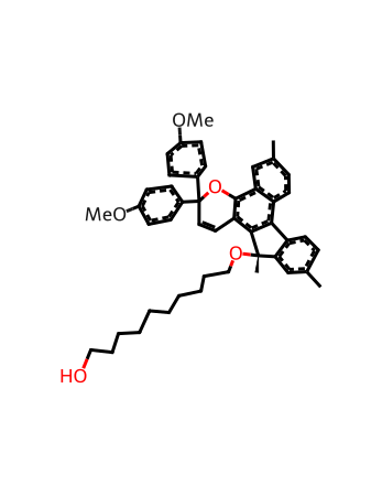 COc1ccc(C2(c3ccc(OC)cc3)C=Cc3c4c(c5ccc(C)cc5c3O2)-c2ccc(C)cc2[C@]4(C)OCCCCCCCCCCO)cc1